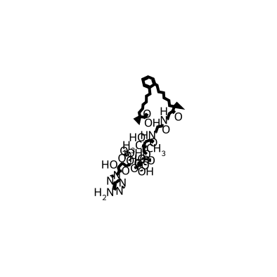 CC(C)(COP(=O)(O)OP(=O)(O)OCC1OC(n2cnc3c(N)ncnc32)C(O)C1OP(=O)(O)O)C(O)C(=O)NCCC(=O)NCCC(=O)C1(CCCCCCc2ccccc2CCCCCCC2(C(=O)O)CC2)CC1